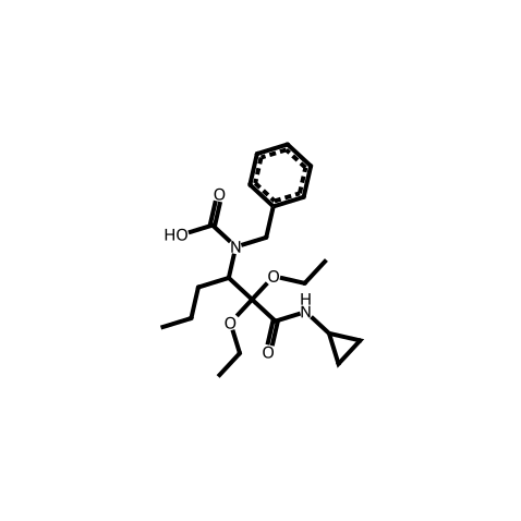 CCCC(N(Cc1ccccc1)C(=O)O)C(OCC)(OCC)C(=O)NC1CC1